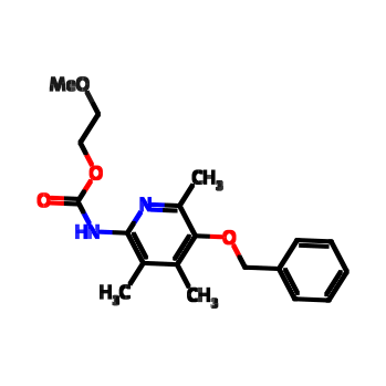 COCCOC(=O)Nc1nc(C)c(OCc2ccccc2)c(C)c1C